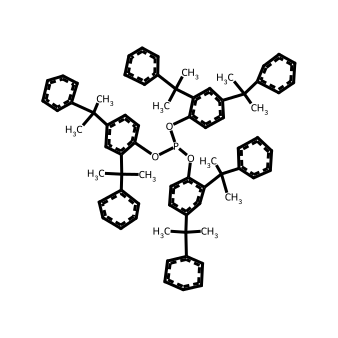 CC(C)(c1ccccc1)c1ccc(OP(Oc2ccc(C(C)(C)c3ccccc3)cc2C(C)(C)c2ccccc2)Oc2ccc(C(C)(C)c3ccccc3)cc2C(C)(C)c2ccccc2)c(C(C)(C)c2ccccc2)c1